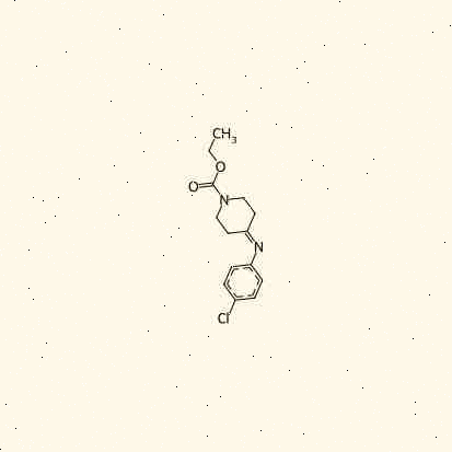 CCOC(=O)N1CCC(=Nc2ccc(Cl)cc2)CC1